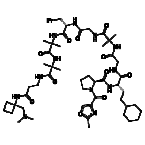 Cc1nc(C(=O)N2CCC[C@H]2C(=O)N[C@@H](CCC2CCCCC2)C(=O)NCC(=O)NC(C)(C)C(=O)NCC(=O)N[C@@H](CC(C)C)C(=O)NC(C)(C)C(=O)NC(C)(C)C(=O)NCCC(=O)NC2(CN(C)C)CCC2)co1